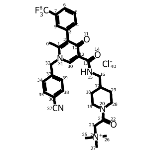 Cc1c(-c2cccc(C(F)(F)F)c2)c(=O)c(C(=O)NCC2CCN(C(=O)C[N+](C)(C)C)CC2)cn1Cc1ccc(C#N)cc1.[Cl-]